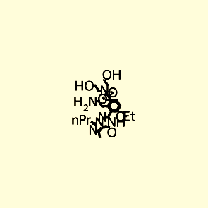 CCCc1nc(C)c2c(=O)[nH]c(-c3c(OCC)ccc(S(=O)(=O)N(CCO)CCO)c3CCN)nn12